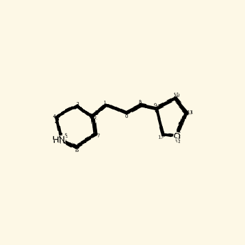 C(CC1CCNCC1)CC1CCOC1